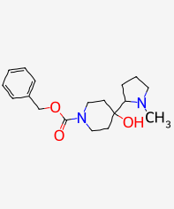 CN1CCCC1C1(O)CCN(C(=O)OCc2ccccc2)CC1